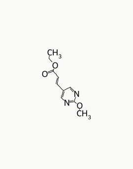 CCOC(=O)C=Cc1cnc(OC)nc1